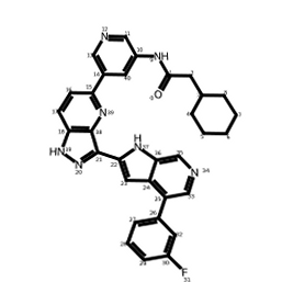 O=C(CC1CCCCC1)Nc1cncc(-c2ccc3[nH]nc(-c4cc5c(-c6cccc(F)c6)cncc5[nH]4)c3n2)c1